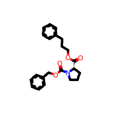 O=C(OCCCc1ccccc1)[C@@H]1CCCN1C(=O)OCc1ccccc1